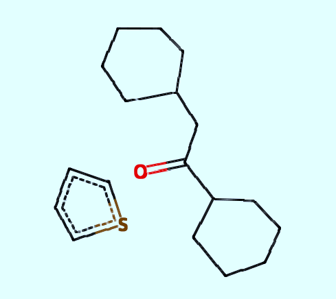 O=C(CC1CCCCC1)C1CCCCC1.c1ccsc1